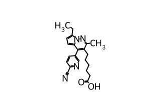 CCc1ccc2c(-c3ccc(C#N)nc3)c(CCCCCC(=O)O)c(C)nn12